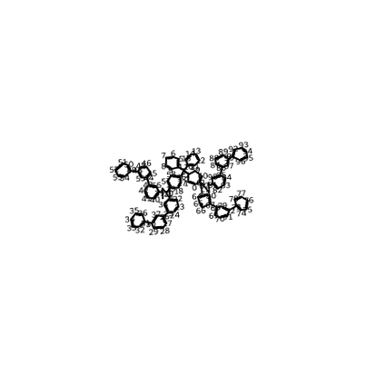 C1=CC(C(c2ccccc2)(c2ccccc2)c2ccc(N(c3cccc(-c4cccc(-c5ccccc5)c4)c3)c3cccc(-c4cccc(-c5ccccc5)c4)c3)cc2)CC=C1N(c1cccc(-c2cccc(-c3ccccc3)c2)c1)c1cccc(-c2cccc(-c3ccccc3)c2)c1